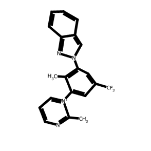 Cc1c(-n2cc3ccccc3n2)cc(C(F)(F)F)cc1-[n+]1cccnc1C